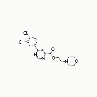 O=C(OCCN1CCOCC1)c1cc(-c2ccc(Cl)c(Cl)c2)ncn1